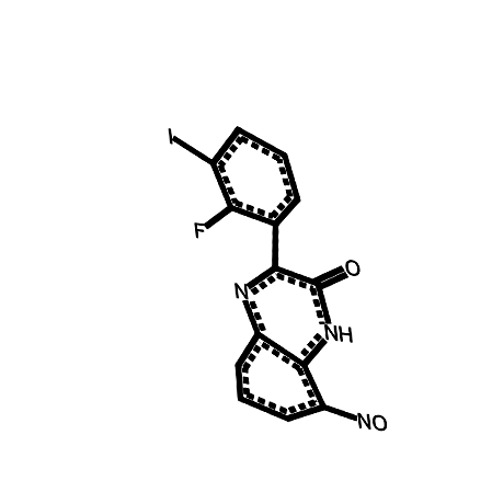 O=Nc1cccc2nc(-c3cccc(I)c3F)c(=O)[nH]c12